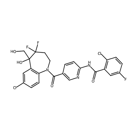 O=C(Nc1ccc(C(=O)N2CCC(F)(F)C(O)(CO)c3cc(Cl)ccc32)cn1)c1cc(F)ccc1Cl